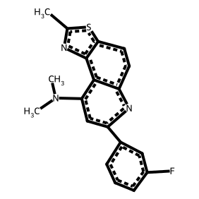 Cc1nc2c(ccc3nc(-c4cccc(F)c4)cc(N(C)C)c32)s1